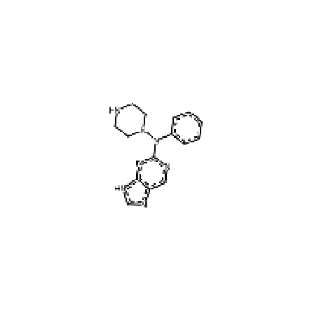 c1ccc(N(c2ncc3nc[nH]c3n2)N2CCNCC2)cc1